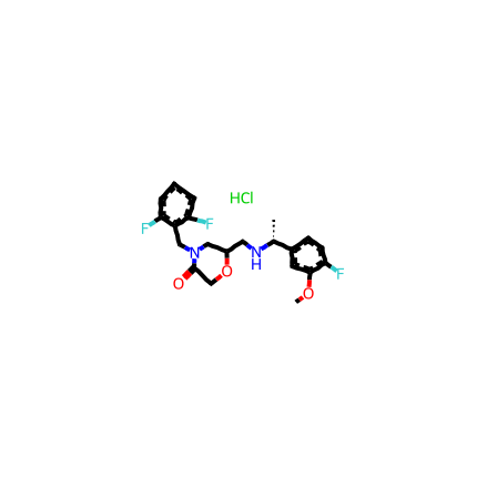 COc1cc([C@@H](C)NCC2CN(Cc3c(F)cccc3F)C(=O)CO2)ccc1F.Cl